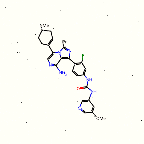 CNC1CC=C(c2cnc(N)c3c(-c4ccc(NC(=O)Nc5cncc(OC)c5)cc4F)nc(C(C)C)n23)CC1